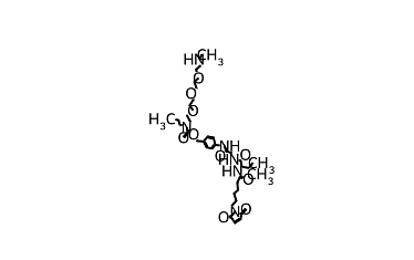 CCCN(CCOCCOCCOCCNC)C(=O)OCc1ccc(NC(=O)CNC(=O)C(NC(=O)CCCCCN2C(=O)C=CC2=O)C(C)C)cc1